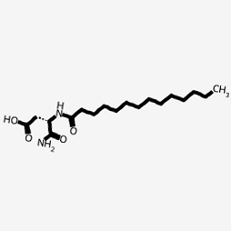 CCCCCCCCCCCCCC(=O)N[C@@H](CC(=O)O)C(N)=O